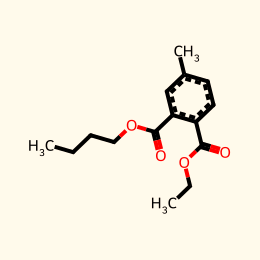 CCCCOC(=O)c1cc(C)ccc1C(=O)OCC